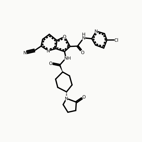 N#Cc1ccc2oc(C(=O)Nc3ccc(Cl)cn3)c(NC(=O)[C@H]3CC[C@H](N4CCCC4=O)CC3)c2n1